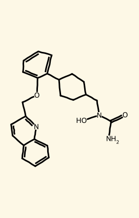 NC(=O)N(O)CC1CCC(c2ccccc2OCc2ccc3ccccc3n2)CC1